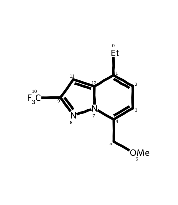 CCc1ccc(COC)n2nc(C(F)(F)F)cc12